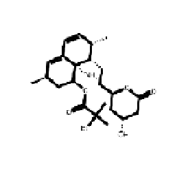 CCC(C)(C)C(=O)O[C@H]1C[C@@H](C)C=C2C=C[C@H](C)[C@H](CCC3C[C@@H](O)CC(=O)O3)[C@]21N